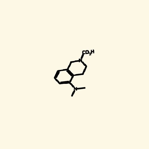 CN(C)c1cccc2c1CCN(C(=O)O)C2